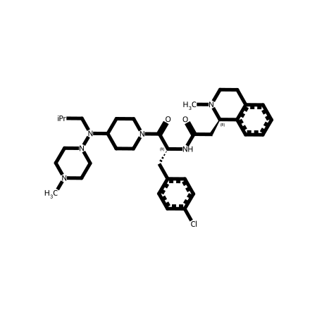 CC(C)CN(C1CCN(C(=O)[C@@H](Cc2ccc(Cl)cc2)NC(=O)C[C@@H]2c3ccccc3CCN2C)CC1)N1CCN(C)CC1